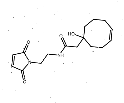 O=C(CC1(O)CCC=CCCC1)NCCN1C(=O)C=CC1=O